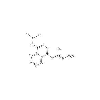 CCOC(=O)/C=C(/Cc1ccc(OC(F)F)c2ncccc12)C(C)(C)C